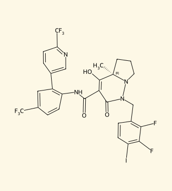 C[C@]12CCCN1N(Cc1ccc(I)c(F)c1F)C(=O)C(C(=O)Nc1ccc(C(F)(F)F)cc1-c1ccc(C(F)(F)F)nc1)=C2O